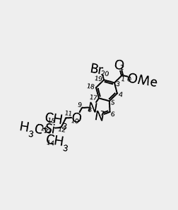 COC(=O)c1cc2cnn(COCC[Si](C)(C)C)c2cc1Br